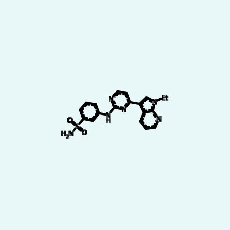 CCn1cc(-c2ccnc(Nc3cccc(S(N)(=O)=O)c3)n2)c2cccnc21